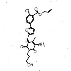 C=CCOC(=O)c1cc(-c2ccc(/C=C3/C(=O)N(CCCO)C(=O)C(N)=C3C)o2)ccc1Cl